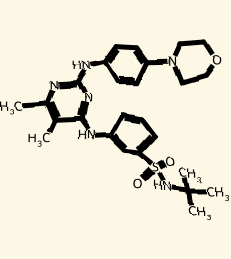 Cc1nc(Nc2ccc(N3CCOCC3)cc2)nc(Nc2cccc(S(=O)(=O)NC(C)(C)C)c2)c1C